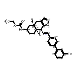 CCOC(=O)N[C@@H]1CC[C@@H]2[C@H](Cc3cnoc3[C@H]2/C=C/c2ccc(-c3cccc(F)c3)cn2)C1